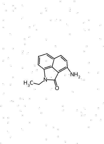 CCN1C(=O)c2c(N)ccc3cccc1c23